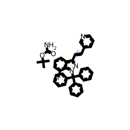 CC(C)(C)OC(N)=O.Fc1cccc2c(/C=C/c3cccnc3)nn(C(c3ccccc3)(c3ccccc3)c3ccccc3)c12